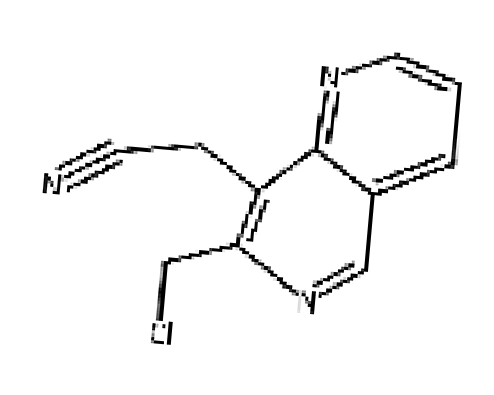 N#CCc1c(CCl)ncc2cccnc12